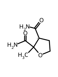 CC1(C(N)=O)OCC[C]1C(N)=O